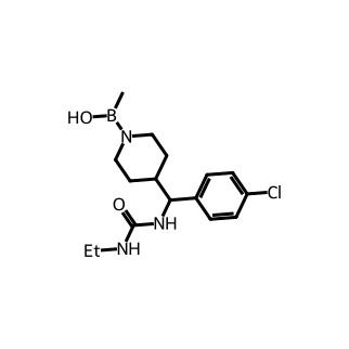 CCNC(=O)NC(c1ccc(Cl)cc1)C1CCN(B(C)O)CC1